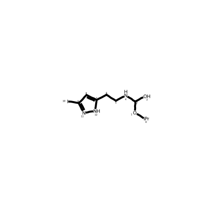 CC(C)OC(O)NCCc1cc(I)n[nH]1